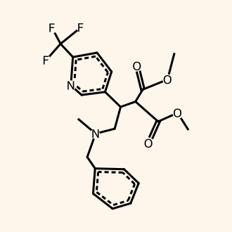 COC(=O)C(C(=O)OC)C(CN(C)Cc1ccccc1)c1ccc(C(F)(F)F)nc1